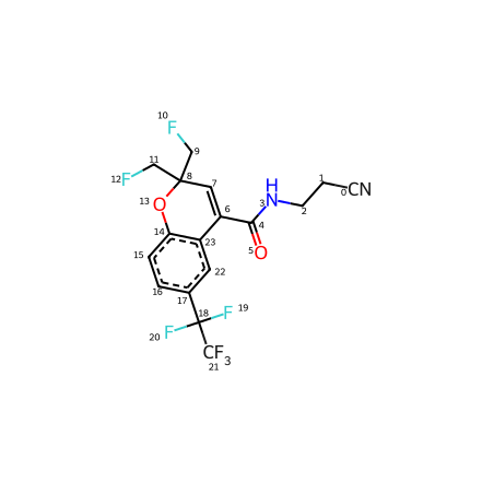 N#CCCNC(=O)C1=CC(CF)(CF)Oc2ccc(C(F)(F)C(F)(F)F)cc21